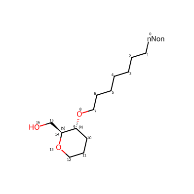 CCCCCCCCCCCCCCCCO[C@@H]1CCCO[C@H]1CO